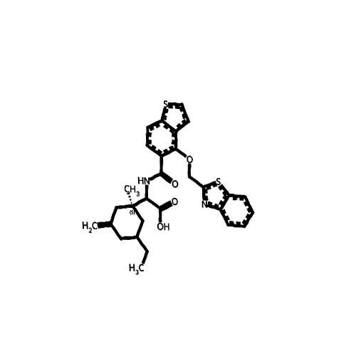 C=C1CC(CC)C[C@](C)(C(NC(=O)c2ccc3sccc3c2OCc2nc3ccccc3s2)C(=O)O)C1